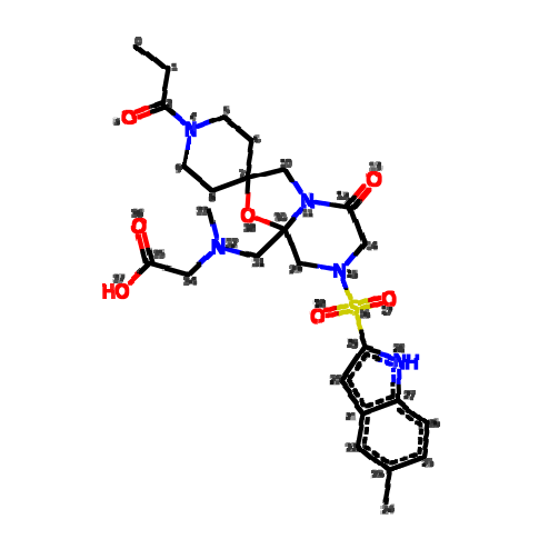 CCC(=O)N1CCC2(CC1)CN1C(=O)CN(S(=O)(=O)c3cc4cc(C)ccc4[nH]3)CC1(CN(C)CC(=O)O)O2